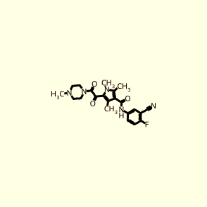 Cc1c(C(=O)Nc2ccc(F)c(C#N)c2)c(C)n(C)c1C(=O)C(=O)N1CCN(C)CC1